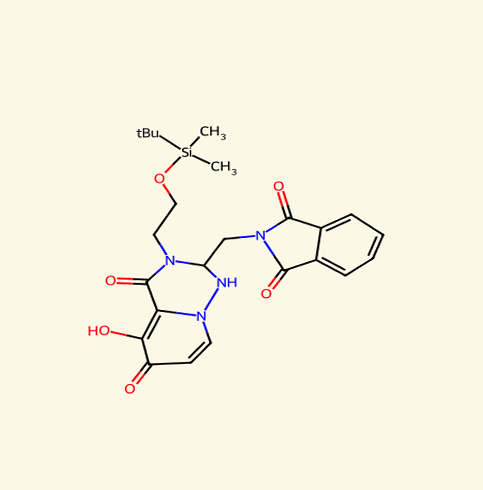 CC(C)(C)[Si](C)(C)OCCN1C(=O)c2c(O)c(=O)ccn2NC1CN1C(=O)c2ccccc2C1=O